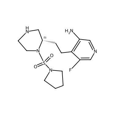 Nc1cncc(F)c1CC[C@H]1CNCCN1S(=O)(=O)N1CCCC1